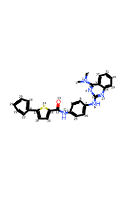 CN(C)c1nc(Nc2ccc(NC(=O)c3ccc(-c4ccccc4)s3)cc2)nc2ccccc12